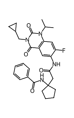 CC(C)n1c(=O)n(CC2CC2)c(=O)c2cc(NC(=O)CC3(NC(=O)c4ccccc4)CCCC3)c(F)cc21